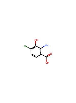 Nc1c(C(=O)O)ccc(Cl)c1O